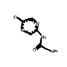 CCCCC(=O)Nc1cnc(Cl)cn1